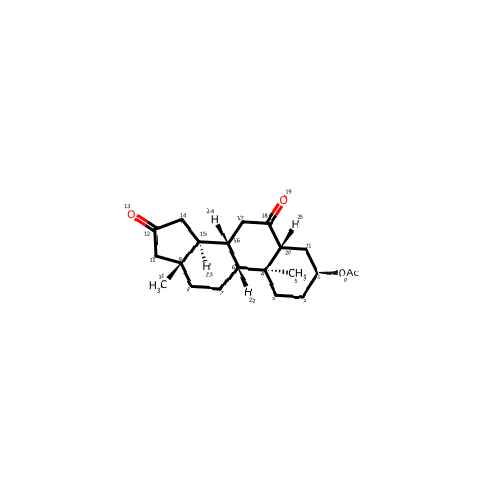 CC(=O)O[C@H]1CC[C@@]2(C)[C@@H]3CC[C@]4(C)CC(=O)C[C@H]4[C@@H]3CC(=O)[C@@H]2C1